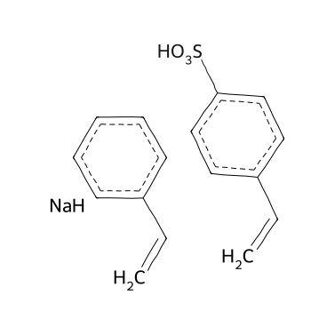 C=Cc1ccc(S(=O)(=O)O)cc1.C=Cc1ccccc1.[NaH]